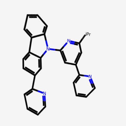 CC(C)c1cc(-c2ccccn2)cc(-n2c3ccccc3c3ccc(-c4ccccn4)cc32)n1